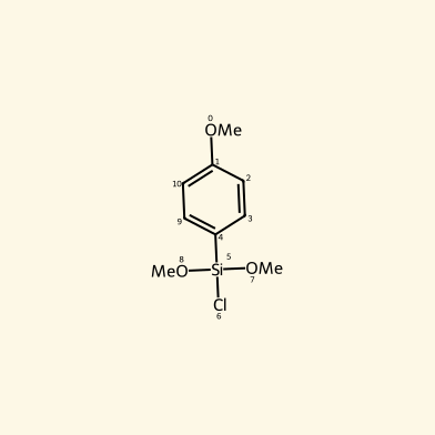 COc1ccc([Si](Cl)(OC)OC)cc1